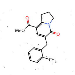 COC(=O)c1cc(Cc2ccccc2C)c(=O)n2c1CCC2